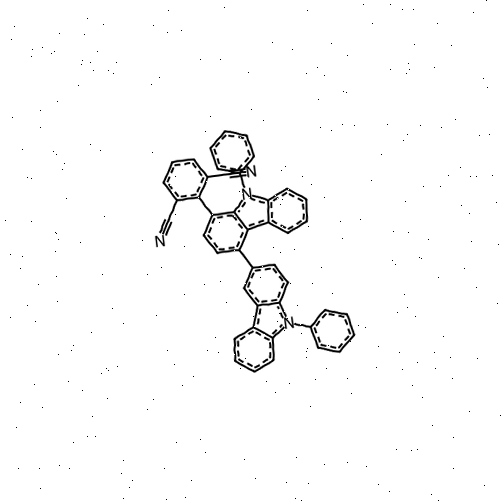 N#Cc1cccc(C#N)c1-c1ccc(-c2ccc3c(c2)c2ccccc2n3-c2ccccc2)c2c3ccccc3n(-c3ccccc3)c12